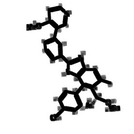 COc1ccncc1-c1cccc(-c2nc3cc(C)c([C@H](OC(C)(C)C)C(C)=O)c(-c4ccc(Cl)cc4)c3s2)c1